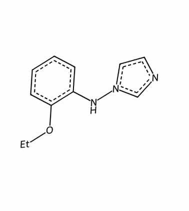 CCOc1ccccc1Nn1ccnc1